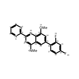 CNc1nc(-c2ncccn2)nc2c(OC)cc(-c3ccc(F)cc3F)cc12